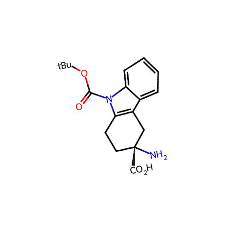 CC(C)(C)OC(=O)n1c2c(c3ccccc31)C[C@@](N)(C(=O)O)CC2